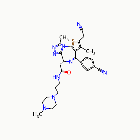 Cc1c(CC#N)sc2c1C(c1ccc(C#N)cc1)=N[C@H](CC(=O)NCCCN1CCN(C)CC1)c1nnc(C)n1-2